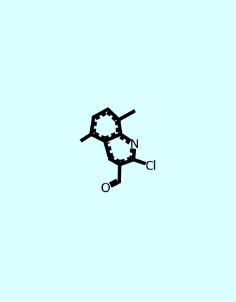 Cc1ccc(C)c2nc(Cl)c(C=O)cc12